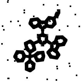 N#Cc1ccc2c(c1)c1ccccc1n2-c1nc(-c2cccc(C(c3ccccc3)(c3ccccc3)c3ccccc3)c2)nc(-n2c3ccccc3c3ccccc32)n1